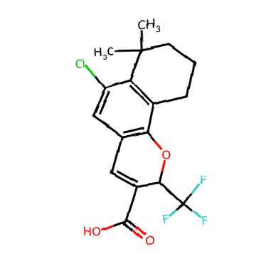 CC1(C)CCCc2c3c(cc(Cl)c21)C=C(C(=O)O)C(C(F)(F)F)O3